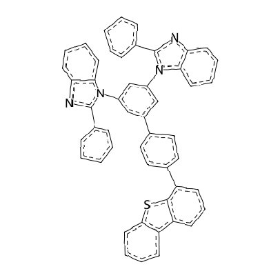 c1ccc(-c2nc3ccccc3n2-c2cc(-c3ccc(-c4cccc5c4sc4ccccc45)cc3)cc(-n3c(-c4ccccc4)nc4ccccc43)c2)cc1